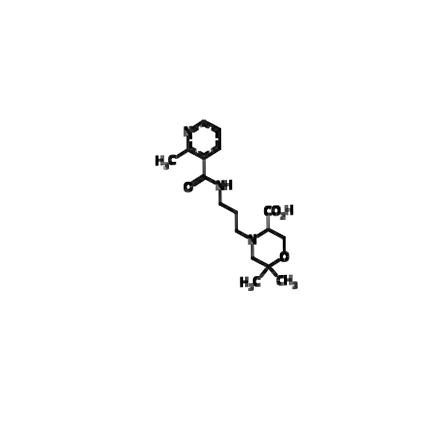 Cc1ncccc1C(=O)NCCCN1CC(C)(C)OCC1C(=O)O